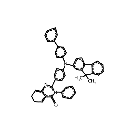 CC1(C)c2ccccc2-c2ccc(N(c3ccc(-c4ccccc4)cc3)c3ccc(-c4nc5c(c(=O)n4-c4ccccc4)=CCCC=5)cc3)cc21